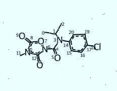 CC(C)N(C(=O)n1oc(=O)n(C)c1=O)c1ccc(Cl)cc1